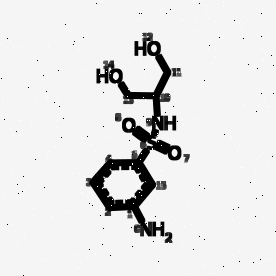 Nc1cccc(S(=O)(=O)NC(CO)CO)c1